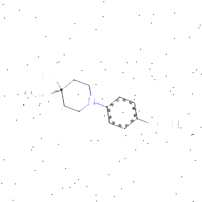 COC1(C)CCN(c2ccc(C(=O)O)cc2)CC1